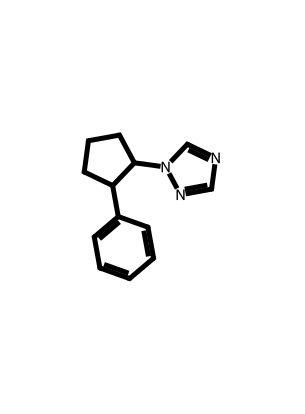 c1ccc(C2CCCC2n2cncn2)cc1